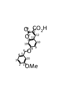 COc1cccc(COc2ccc3cc(C(=O)O)c(=O)oc3c2)c1